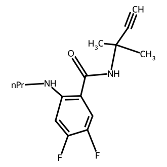 C#CC(C)(C)NC(=O)c1cc(F)c(F)cc1NCCC